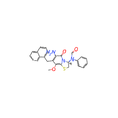 COc1c(Cc2cccc3ccccc23)c(N)c(=O)n2c1SC[C@@H]2N(C=O)c1ccccc1